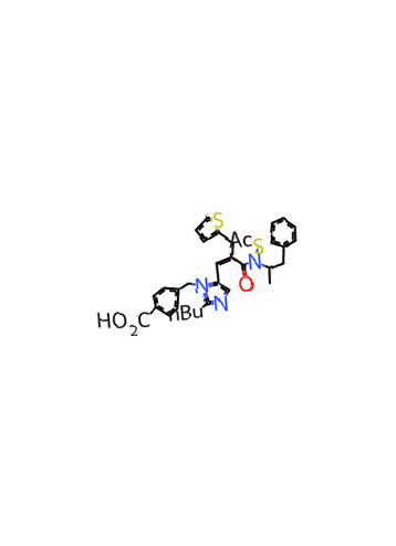 CCCCc1ncc(C=C(Cc2cccs2)C(=O)N(SC(C)=O)C(C)Cc2ccccc2)n1Cc1ccc(C(=O)O)cc1